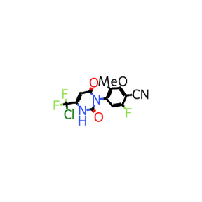 COc1cc(C#N)c(F)cc1-n1c(=O)cc(C(F)(F)Cl)[nH]c1=O